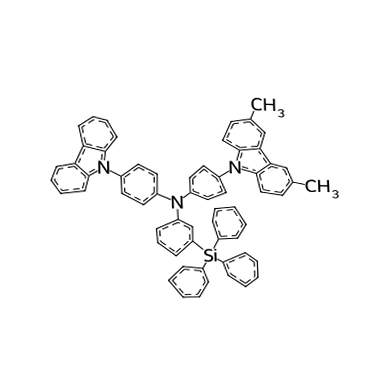 Cc1ccc2c(c1)c1cc(C)ccc1n2-c1ccc(N(c2ccc(-n3c4ccccc4c4ccccc43)cc2)c2cccc([Si](c3ccccc3)(c3ccccc3)c3ccccc3)c2)cc1